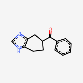 O=C(c1ccccc1)C1CCc2[nH]cnc2C1